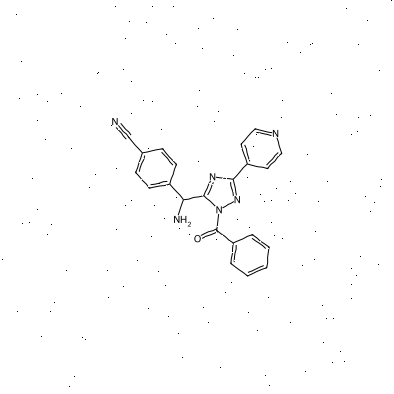 N#Cc1ccc(C(N)c2nc(-c3ccncc3)nn2C(=O)c2ccccc2)cc1